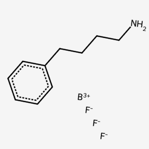 NCCCCc1ccccc1.[B+3].[F-].[F-].[F-]